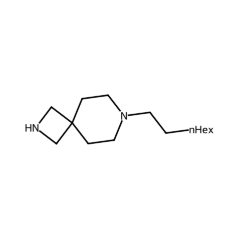 CCCCCCCCN1CCC2(CC1)CNC2